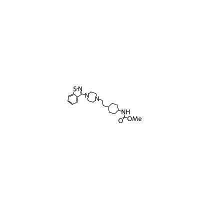 COC(=O)NC1CCC(CCN2CCN(c3nsc4ccccc34)CC2)CC1